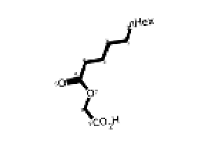 CCCCCCCCCCC(=O)OCC(=O)O